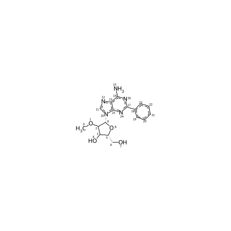 COC1C(O)[C@@H](CO)O[C@H]1n1cnc2c(N)nc(-c3ccccc3)nc21